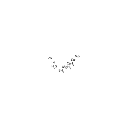 B.S.[CaH2].[Cu].[Fe].[MgH2].[Mo].[Zn]